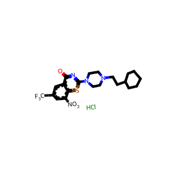 Cl.O=c1nc(N2CCN(CCC3CCCCC3)CC2)sc2c([N+](=O)[O-])cc(C(F)(F)F)cc12